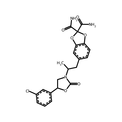 CC(Cc1ccc2c(c1)OC(C(N)=O)(C(N)=O)O2)N1CC(c2cccc(Cl)c2)OC1=O